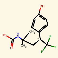 CC(C)(C[C@@H](c1ccc(O)cc1)C(F)(F)F)NC(=O)O